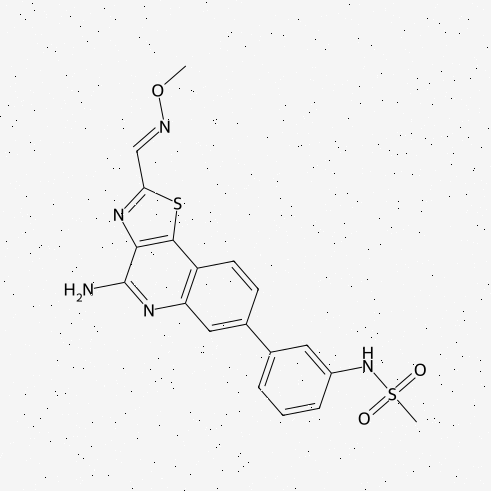 CON=Cc1nc2c(N)nc3cc(-c4cccc(NS(C)(=O)=O)c4)ccc3c2s1